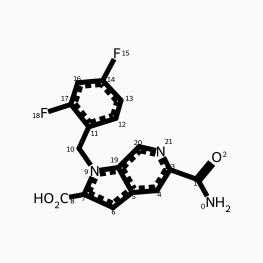 NC(=O)c1cc2cc(C(=O)O)n(Cc3ccc(F)cc3F)c2cn1